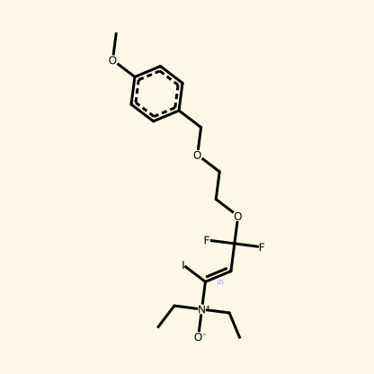 CC[N+]([O-])(CC)/C(I)=C/C(F)(F)OCCOCc1ccc(OC)cc1